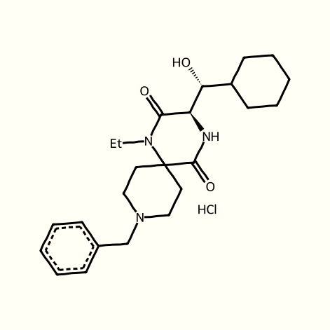 CCN1C(=O)[C@@H]([C@H](O)C2CCCCC2)NC(=O)C12CCN(Cc1ccccc1)CC2.Cl